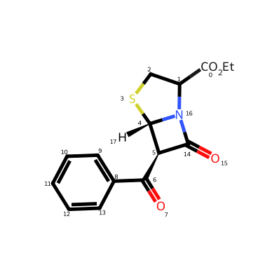 CCOC(=O)C1CS[C@H]2[C@H](C(=O)c3ccccc3)C(=O)N12